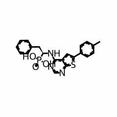 Cc1ccc(-c2cc3c(N[C@H](Cc4ccccc4)P(=O)(O)O)ncnc3s2)cc1